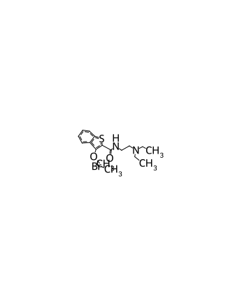 CBr.CCN(CC)CCNC(=O)c1sc2ccccc2c1OC